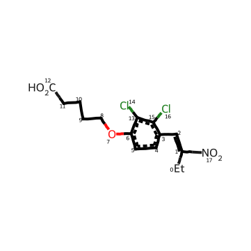 CC/C(=C\c1ccc(OCCCCC(=O)O)c(Cl)c1Cl)[N+](=O)[O-]